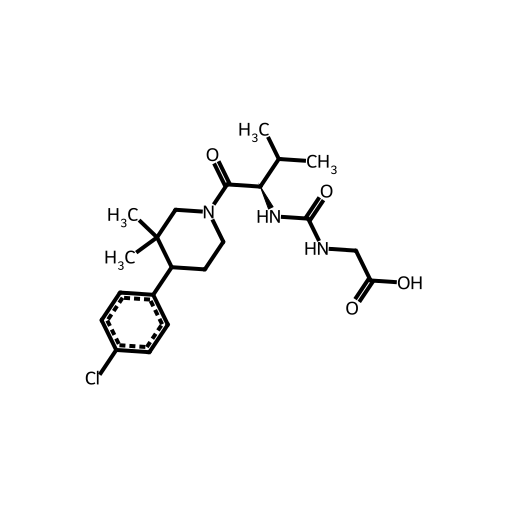 CC(C)[C@@H](NC(=O)NCC(=O)O)C(=O)N1CCC(c2ccc(Cl)cc2)C(C)(C)C1